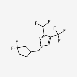 FC(F)c1nn(CC2CCC(F)(F)C2)cc1C(F)(F)F